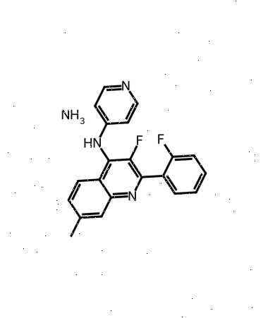 Cc1ccc2c(Nc3ccncc3)c(F)c(-c3ccccc3F)nc2c1.N